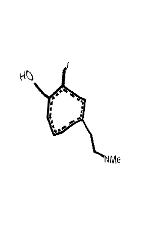 [CH2]NCCc1ccc(O)c(I)c1